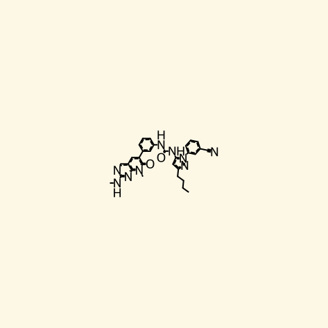 CCCCc1cc(NC(=O)Nc2cccc(-c3cc4cnc(NC)nc4n(C)c3=O)c2)n(-c2cccc(C#N)c2)n1